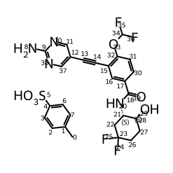 Cc1ccc(S(=O)(=O)O)cc1.Nc1ncc(C#Cc2cc(C(=O)N[C@H]3CC(F)(F)CC[C@@H]3O)ccc2OC(F)F)cn1